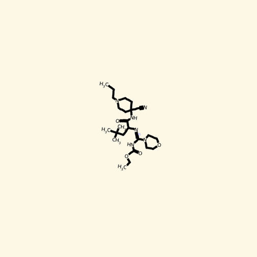 CCCN1CCC(C#N)(NC(=O)C(CC(C)(C)C)/N=C(\NC(=O)OCC)N2CCOCC2)CC1